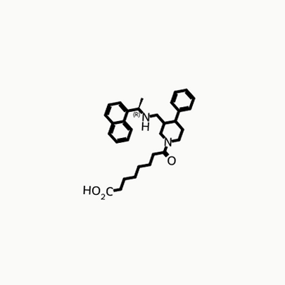 C[C@@H](NCC1CN(C(=O)CCCCCCC(=O)O)CCC1c1ccccc1)c1cccc2ccccc12